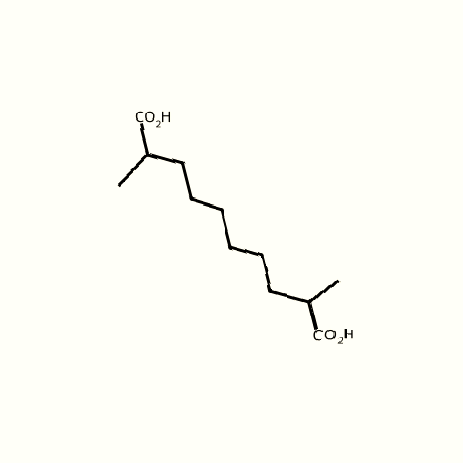 CC(CCCCCCC(C)C(=O)O)C(=O)O